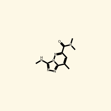 CNc1nnc2c(C)cc(C(=O)N(C)C)nn12